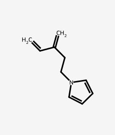 C=CC(=C)CCn1cccc1